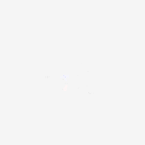 CCC(C)(C)NC(=O)c1cc(-c2ccc(Cl)cc2)cc([N+](=O)[O-])c1